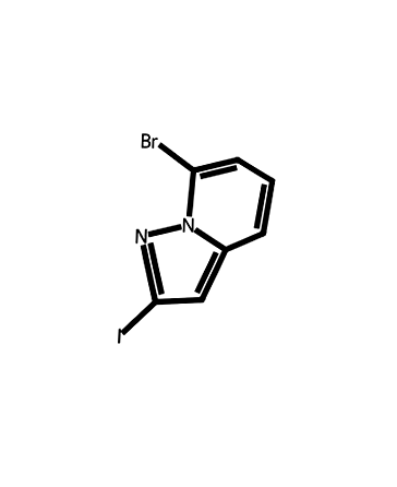 Brc1cccc2cc(I)nn12